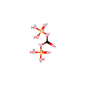 O=C(OP(=O)(O)O)OP(=O)(O)O